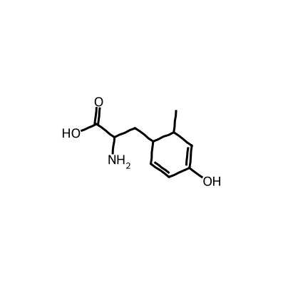 CC1C=C(O)C=CC1CC(N)C(=O)O